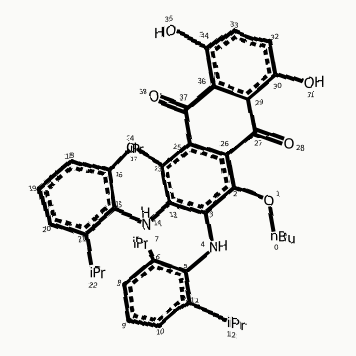 CCCCOc1c(Nc2c(C(C)C)cccc2C(C)C)c(Nc2c(C(C)C)cccc2C(C)C)c(Cl)c2c1C(=O)c1c(O)ccc(O)c1C2=O